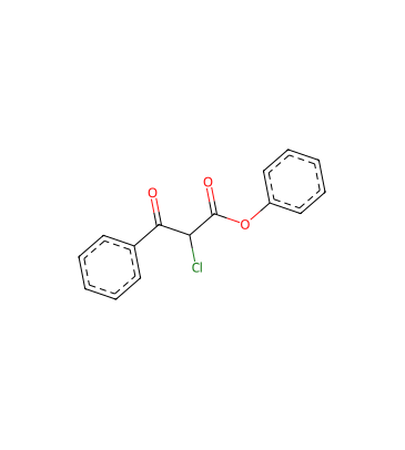 O=C(Oc1ccccc1)C(Cl)C(=O)c1ccccc1